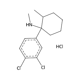 CNC1(c2ccc(Cl)c(Cl)c2)CCCCC1C.Cl